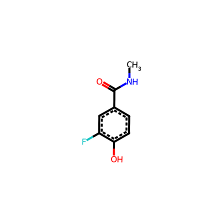 CNC(=O)c1ccc(O)c(F)c1